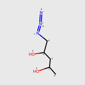 CC(O)CC(O)CN=[N+]=[N-]